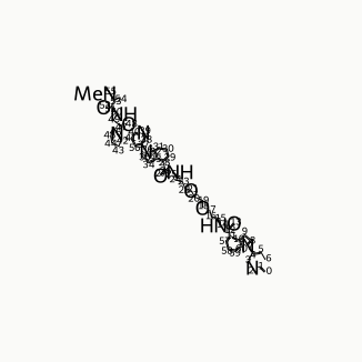 C=C/N=C\C(=C/C)n1ccc2c(C(=O)NCCCOCCOCCCNC(=O)c3cccc4c3ccn4-c3cncc([C@@H]4CCCN4C(=O)CNC(=O)[C@H](C)NC)c3)cccc21